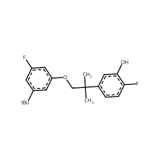 CC(C)(C)c1cc(F)cc(OCC(C)(C)c2ccc(F)c(O)c2)c1